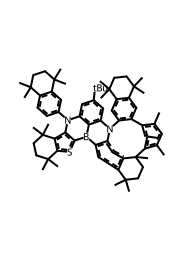 Cc1cc(C)c2c(C)c1-c1cc3c(cc1N1c4cc5c(cc4B4c6sc7c(c6N(c6ccc8c(c6)C(C)(C)CCC8(C)C)c6cc(C(C)(C)C)cc1c64)C(C)(C)CCC7(C)C)C(C)(C)CCC52C)C(C)(C)CCC3(C)C